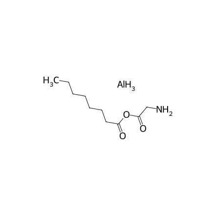 CCCCCCCC(=O)OC(=O)CN.[AlH3]